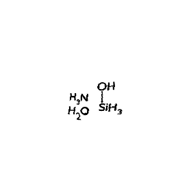 N.O.O[SiH3]